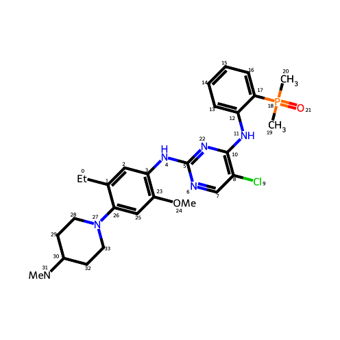 CCc1cc(Nc2ncc(Cl)c(Nc3ccccc3P(C)(C)=O)n2)c(OC)cc1N1CCC(NC)CC1